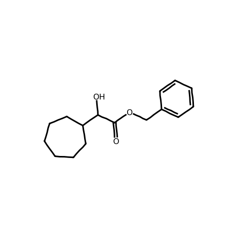 O=C(OCc1ccccc1)C(O)C1CCCCCC1